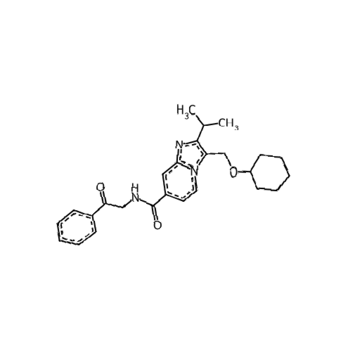 CC(C)c1nc2cc(C(=O)NCC(=O)c3ccccc3)ccn2c1COC1CCCCC1